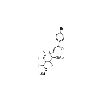 COC1C(F)=C(C(=O)OC(C)(C)C)C(F)=C(C)C1(C)C=CC(=O)c1ccc(Br)cc1